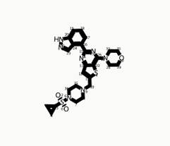 O=S(=O)(C1CC1)N1CCN(Cc2cc3nc(-c4cccc5[nH]ncc45)nc(N4CCOCC4)c3s2)CC1